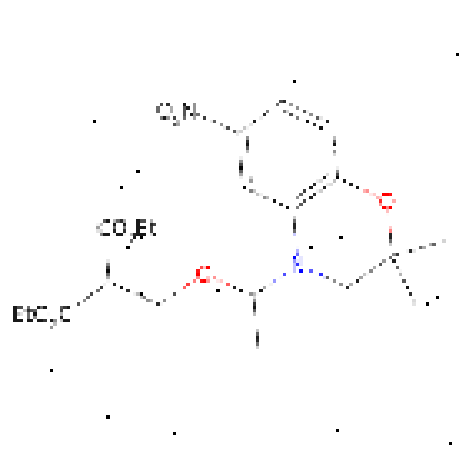 CCOC(=O)C(COC(C)N1CC(C)(C)Oc2ccc([N+](=O)[O-])cc21)C(=O)OCC